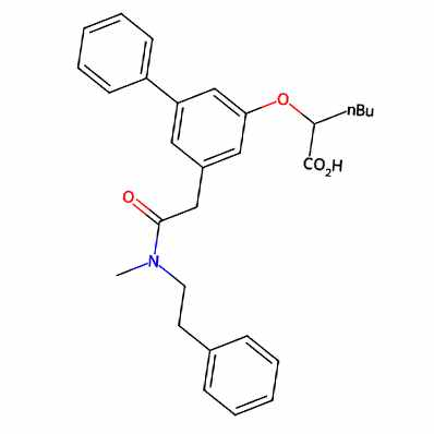 CCCCC(Oc1cc(CC(=O)N(C)CCc2ccccc2)cc(-c2ccccc2)c1)C(=O)O